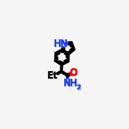 CCC(C(N)=O)c1ccc2[nH]ccc2c1